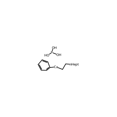 CCCCCCCC[CH2][Ca][c]1ccccc1.OP(O)O